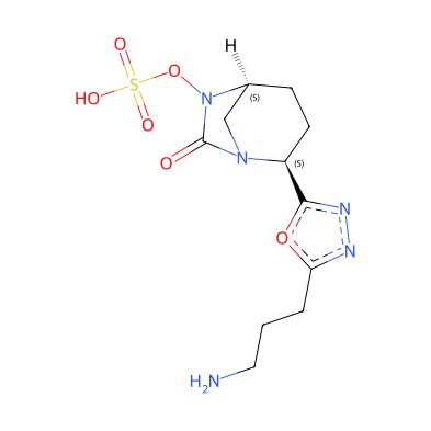 NCCCc1nnc([C@@H]2CC[C@H]3CN2C(=O)N3OS(=O)(=O)O)o1